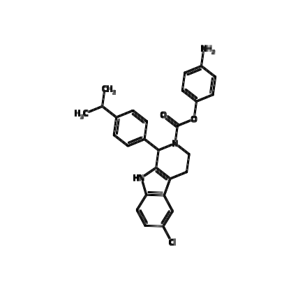 CC(C)c1ccc(C2c3[nH]c4ccc(Cl)cc4c3CCN2C(=O)Oc2ccc(N)cc2)cc1